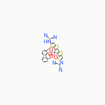 N#CC(C#N)=Nc1cc2sc3c(c2s1)C(C(=O)OCc1ccccc1)(C(=O)OCc1ccccc1)c1c-3sc2cc(NC(C#N)C#N)sc12